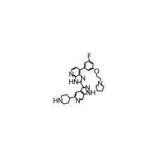 Fc1cc(OCCN2CCCC2)cc(-c2ccnc3[nH]c(-c4n[nH]c5cnc(C6CCNCC6)cc45)nc23)c1